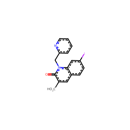 O=C(O)c1cc2ccc(I)cc2n(Cc2ccccn2)c1=O